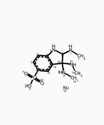 CNC1Nc2ccc(S(=O)(=O)O)cc2C1(NC)NC.[KH]